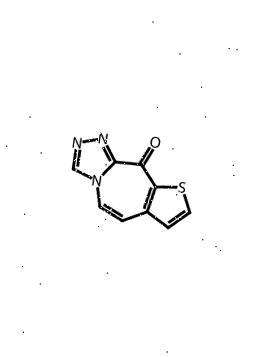 O=c1c2sccc2ccn2cnnc12